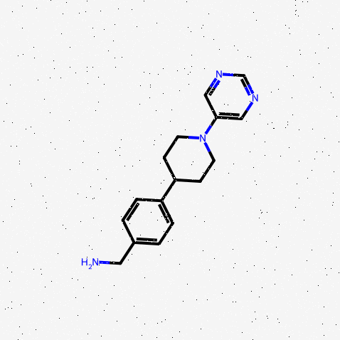 NCc1ccc(C2CCN(c3cncnc3)CC2)cc1